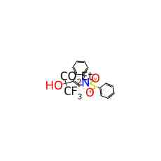 CCOC(=O)C(O)(c1cn(S(=O)(=O)c2ccccc2)c2ccccc12)C(F)(F)F